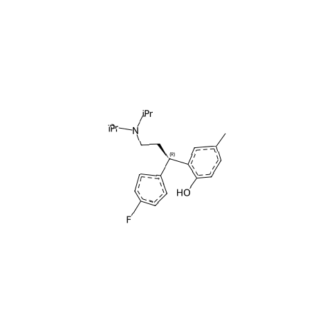 Cc1ccc(O)c([C@H](CCN(C(C)C)C(C)C)c2ccc(F)cc2)c1